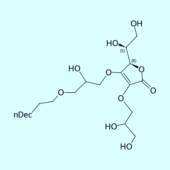 CCCCCCCCCCCCOCC(O)COC1=C(OCC(O)CO)C(=O)O[C@@H]1[C@@H](O)CO